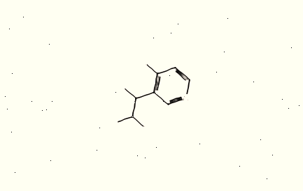 O=C(O)c1ccncc1C(F)C(F)F